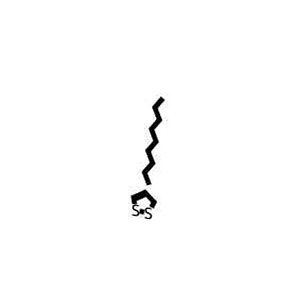 C1=CSSC1.CCCCCCCCC